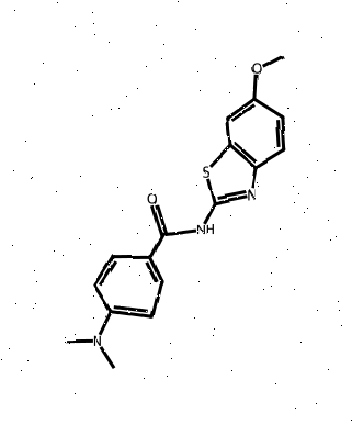 COc1ccc2nc(NC(=O)c3ccc(N(C)C)cc3)sc2c1